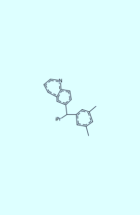 Cc1cc(C)cc(C(c2ccc3ncccc3c2)C(C)C)c1